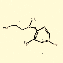 CN(CCO)c1ncc(Br)cc1C(F)(F)F